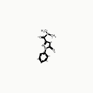 CN(C)C(=O)C1=NN(c2ccccc2)C(=O)C1